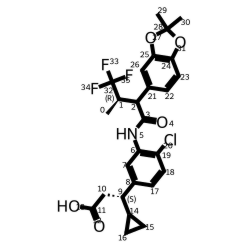 C[C@H](C(C(=O)Nc1cc([C@@H](CC(=O)O)C2CC2)ccc1Cl)c1ccc2c(c1)OC(C)(C)O2)C(F)(F)F